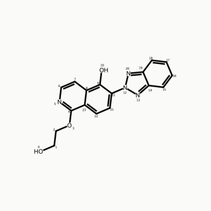 OCCOc1nccc2c(O)c(-n3nc4ccccc4n3)ccc12